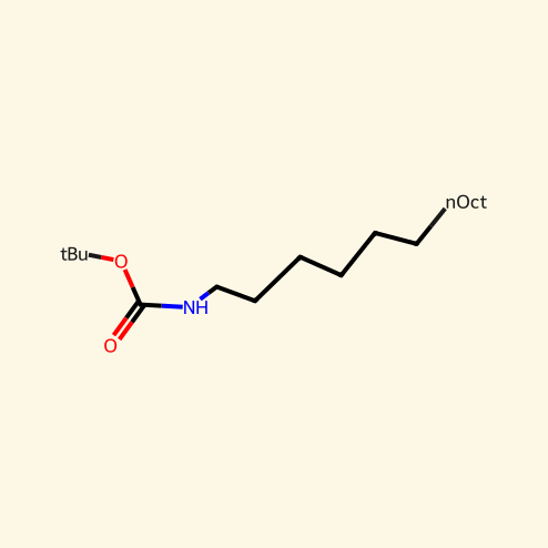 CCCCCCCCCCCCCCNC(=O)OC(C)(C)C